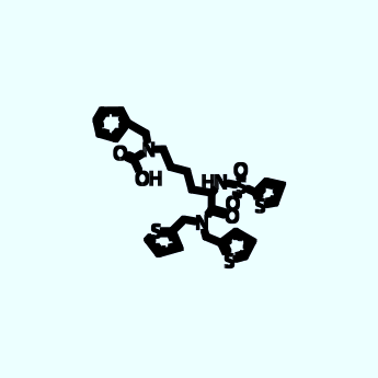 O=C(O)N(CCCCC(NS(=O)(=O)c1cccs1)C(=O)N(Cc1cccs1)Cc1cccs1)Cc1ccccc1